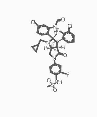 C[C@@]1(c2ccc(Cl)cc2NC=O)[C@@H](c2cccc(Cl)c2F)[C@@H]2C(=O)N(c3ccc(NS(C)(=O)=O)c(F)c3)C[C@@H]2N1CC1CC1